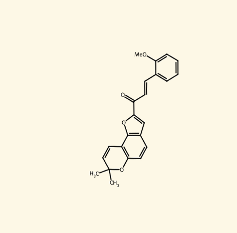 COc1ccccc1/C=C/C(=O)c1cc2ccc3c(c2o1)C=CC(C)(C)O3